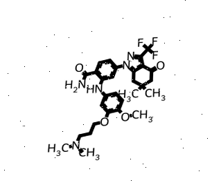 COc1ccc(Nc2cc(-n3nc(C(F)(F)F)c4c3CC(C)(C)CC4=O)ccc2C(N)=O)cc1OCCCN(C)C